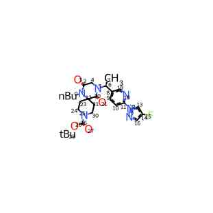 CCCCN1C(=O)CN([C@@H](C)c2ccc(-n3cc(F)cn3)nc2)C(=O)C12CCN(C(=O)OC(C)(C)C)CC2